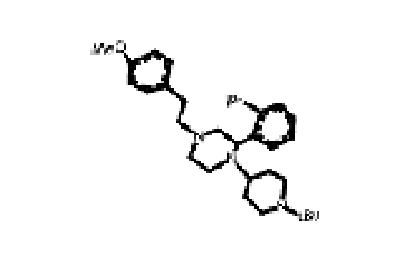 COc1ccc(CCN2CCN(C3CCN(C(C)(C)C)CC3)C(c3ccccc3C(C)C)C2)cc1